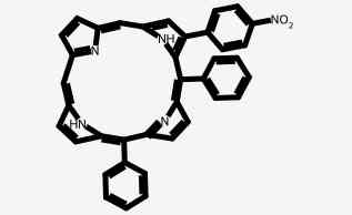 O=[N+]([O-])c1ccc(-c2cc3cc4nc(cc5ccc([nH]5)c(-c5ccccc5)c5nc(c(-c6ccccc6)c2[nH]3)C=C5)C=C4)cc1